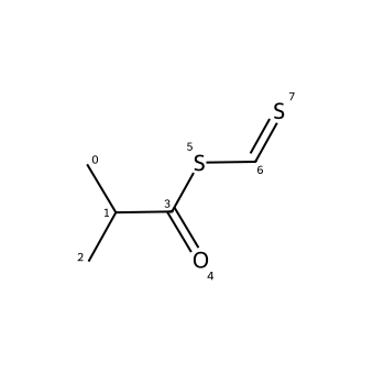 CC(C)C(=O)SC=S